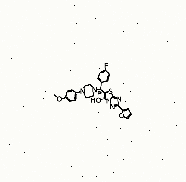 COc1ccc(N2CCN([C@@H](c3ccc(F)cc3)c3sc4nc(-c5ccco5)nn4c3O)CC2)cc1